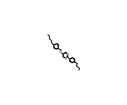 CCCCCc1ccc(COc2cnc(-c3ccc(CCCC)cc3)nc2)cc1